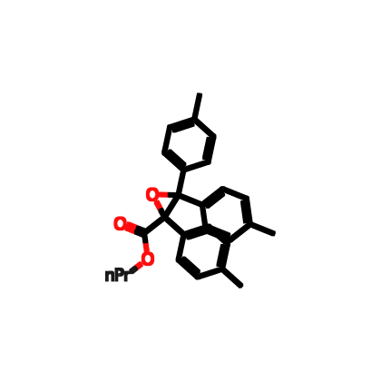 CCCOC(=O)C1(c2ccc(C)cc2)OC1(c1ccc(C)cc1)c1ccc(C)cc1